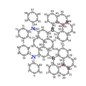 c1ccc(N(c2ccccc2)c2cc(B(c3cccc4ccccc34)c3cccc4ccccc34)c3ccc4c(B(c5cccc6ccccc56)c5cccc6ccccc56)cc(N(c5ccccc5)c5ccccc5)c5ccc2c3c45)cc1